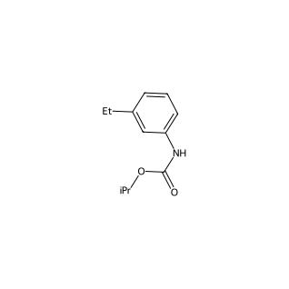 [CH2]Cc1cccc(NC(=O)OC(C)C)c1